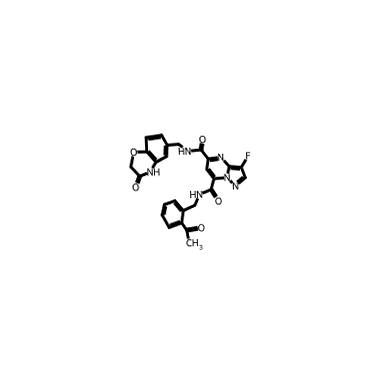 CC(=O)c1ccccc1CNC(=O)c1cc(C(=O)NCc2ccc3c(c2)NC(=O)CO3)nc2c(F)cnn12